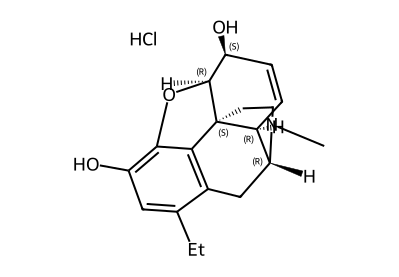 Cl.[CH2]Cc1cc(O)c2c3c1C[C@@H]1[C@@H]4C=C[C@H](O)[C@H](O2)[C@]34CCN1C